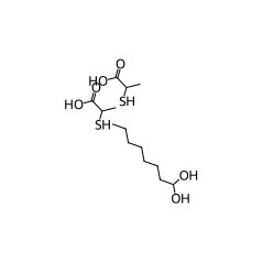 CC(S)C(=O)O.CC(S)C(=O)O.CCCCCCCC(O)O